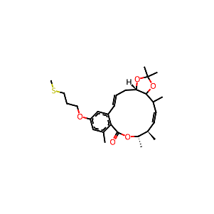 CSCCCOc1cc(C)c2c(c1)/C=C/C[C@@H]1OC(C)(C)OC1C(C)/C=C\[C@@H](C)[C@H](C)OC2=O